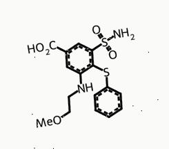 COCCNc1cc(C(=O)O)cc(S(N)(=O)=O)c1Sc1ccccc1